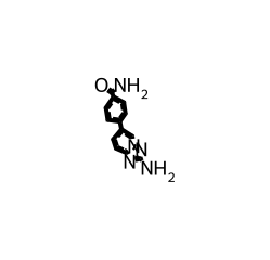 NC(=O)c1ccc(-c2ccc3nc(N)nn3c2)cc1